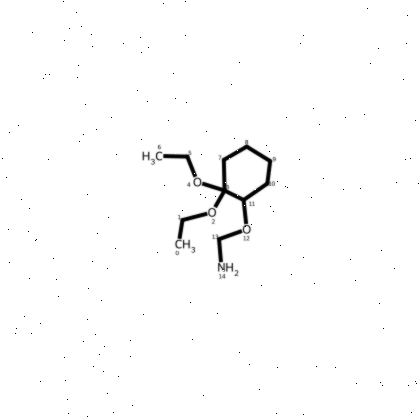 CCOC1(OCC)CCCCC1OCN